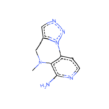 CN1Cc2cnnn2-c2ccnc(N)c21